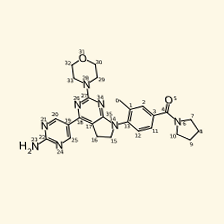 Cc1cc(C(=O)N2CCCC2)ccc1N1CCc2c(-c3cnc(N)nc3)nc(N3CCOCC3)nc21